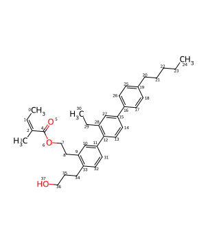 C/C=C(/C)C(=O)OCCc1cc(-c2ccc(-c3ccc(CCCCC)cc3)cc2CC)ccc1CCCO